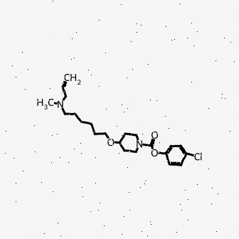 C=CCN(C)CCCCCCOC1CCN(C(=O)Oc2ccc(Cl)cc2)CC1